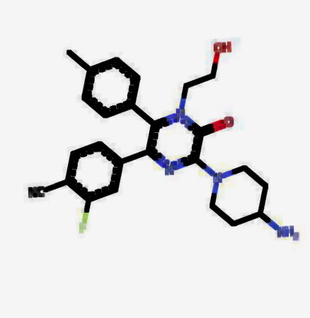 Cc1ccc(-c2c(-c3ccc(C#N)c(F)c3)nc(N3CCC(N)CC3)c(=O)n2CCO)cc1